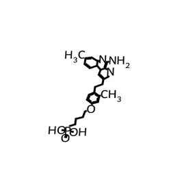 CC1=CC2=NC(N)=C3N=CC(CCc4ccc(OCCCCCP(=O)(O)O)cc4C)=CC3C2C=C1